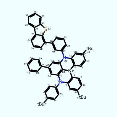 CC(C)(C)c1ccc(N2c3cc(C(C)(C)C)ccc3B3c4ccc(C(C)(C)C)cc4N(c4cccc(-c5cccc6c5sc5ccccc56)c4)c4cc(-c5ccccc5)cc2c43)cc1